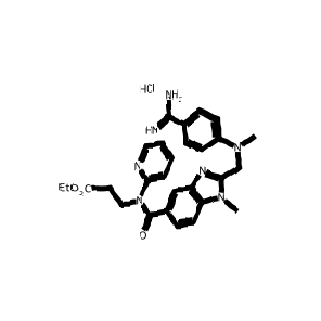 CCOC(=O)CCN(C(=O)c1ccc2c(c1)nc(CN(C)c1ccc(C(=N)N)cc1)n2C)c1ccccn1.Cl